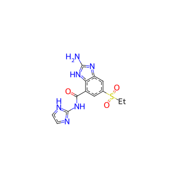 CCS(=O)(=O)c1cc(C(=O)Nc2ncc[nH]2)c2[nH]c(N)nc2c1